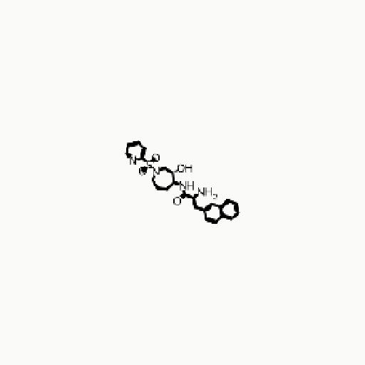 NC(Cc1ccc2ccccc2c1)C(=O)NC1CCCN(S(=O)(=O)c2ccccn2)C[C@@H]1O